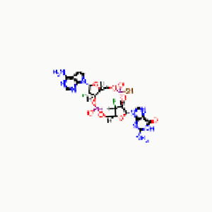 Nc1nc2c(ncn2[C@@H]2O[C@@H]3CO[PH](=O)O[C@H]4[C@H](F)[C@H](n5ccc6c(N)ncnc65)O[C@@H]4COP(=O)(S)O[C@@H]2[C@H]3F)c(=O)[nH]1